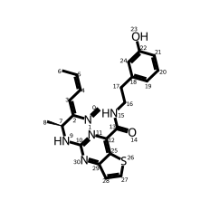 C=N/C(=C\C=C/C)[C@H](C)Nc1nc(C(=O)NCCc2cccc(O)c2)c2sccc2n1